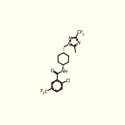 Cc1nc(C(F)(F)F)nn1C[C@H]1CC[C@H](NC(=O)c2cc(C(F)(F)F)ccc2Cl)CC1